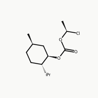 CC(C)[C@@H]1CC[C@@H](C)C[C@H]1OC(=O)O[C@@H](C)Cl